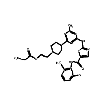 Cc1nc(Nc2ncc(C(=O)Nc3c(C)cccc3Cl)s2)cc(N2CCN(CCOC(=O)CN)CC2)n1